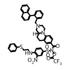 O=C(c1ccc2c(c1)CC[C@@H]1CN(Cc3ccccc3-c3cccc4ccccc34)CCN21)N(OC(=O)C(F)(F)F)S(=O)(=O)c1ccc(NCCSc2ccccc2)c([N+](=O)[O-])c1